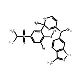 [2H]c1cc(S(=O)(=O)C(C)C)cc(C2(N)N=C(N(C)c3ccc4c(C)n[nH]c4c3)C=CN2)c1OC